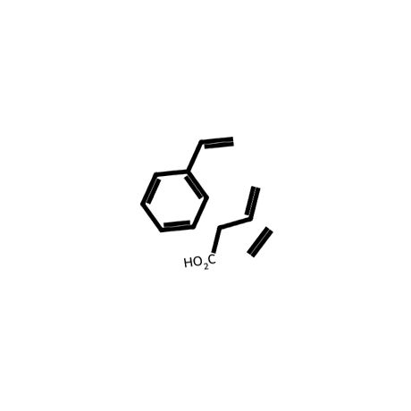 C=C.C=CCC(=O)O.C=Cc1ccccc1